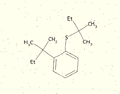 CCC(C)(C)Sc1ccccc1C(C)(C)CC